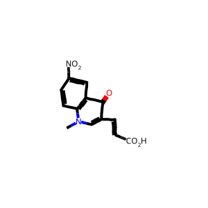 Cn1cc(C=CC(=O)O)c(=O)c2cc([N+](=O)[O-])ccc21